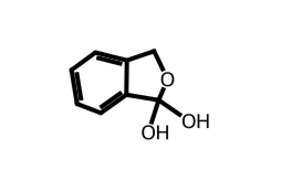 OC1(O)OCc2ccccc21